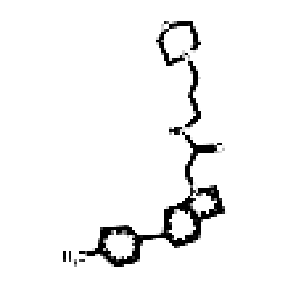 Cc1ccc(-c2ccc3ccn(CC(=O)NCCCN4CCOCC4)c3c2)cc1